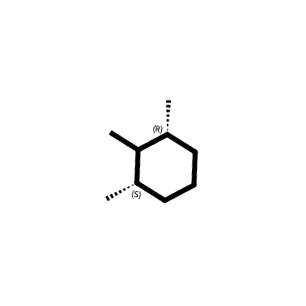 CC1[C@H](C)CCC[C@@H]1C